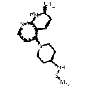 C=C1C=Cc2c(N3CCC(NSN)CC3)ccnc2N1